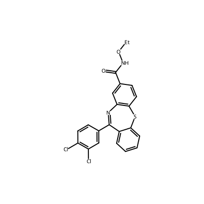 CCONC(=O)c1ccc2c(c1)N=C(c1ccc(Cl)c(Cl)c1)c1ccccc1S2